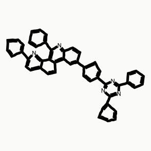 c1ccc(-c2ccc3ccc4c5cc(-c6ccc(-c7nc(-c8ccccc8)nc(-c8ccccc8)n7)cc6)ccc5nc(-c5ccccc5)c4c3n2)cc1